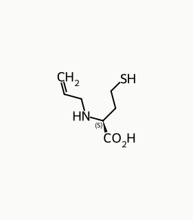 C=CCN[C@@H](CCS)C(=O)O